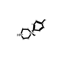 Cc1ccc([N+]2(C)CCNCC2)cc1